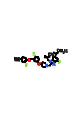 C/C(=C\C(=O)O)c1cc(F)c2nc(CN3CCC(Oc4ccc(F)c(COc5ccc(C#N)cc5F)c4)CC3)n(CC3(CC#N)CC3)c2c1